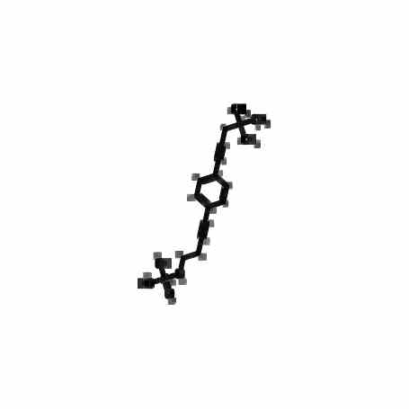 CC(C)(C)CC#Cc1ccc(C#CCCOP(=O)(O)O)cc1